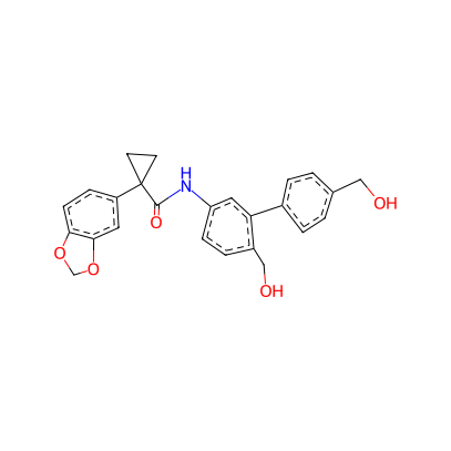 O=C(Nc1ccc(CO)c(-c2ccc(CO)cc2)c1)C1(c2ccc3c(c2)OCO3)CC1